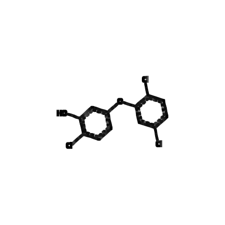 Oc1cc(Oc2cc(Cl)ccc2Cl)ccc1Cl